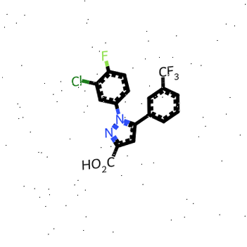 O=C(O)c1cc(-c2cccc(C(F)(F)F)c2)n(-c2ccc(F)c(Cl)c2)n1